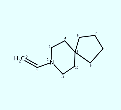 C=CN1CCC2(CCCC2)CC1